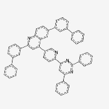 c1ccc(-c2cccc(-c3ccc4nc(-c5cccc(-c6ccccc6)c5)cc(-c5ccc(-c6cc(-c7ccccc7)nc(-c7ccccc7)n6)nc5)c4c3)c2)cc1